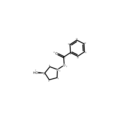 O=C(ON1CC[C@@H](O)C1)c1ccccc1